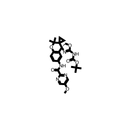 COc1cnc(C(=O)Nc2ccc3c(c2)[C@@]2(COC(NC(=O)OC(C)(C)C)=N2)C2(CC2)C(C)(C)O3)nc1